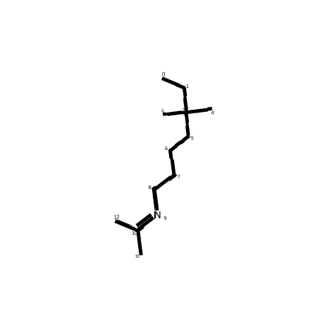 CCC(C)(C)CCCCN=C(C)C